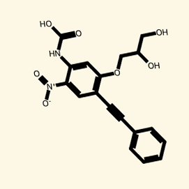 O=C(O)Nc1cc(OCC(O)CO)c(C#Cc2ccccc2)cc1[N+](=O)[O-]